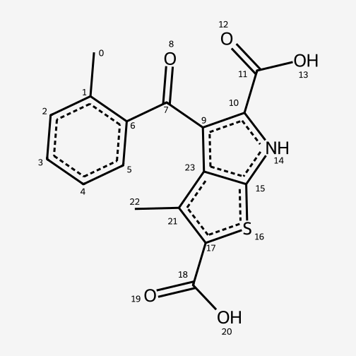 Cc1ccccc1C(=O)c1c(C(=O)O)[nH]c2sc(C(=O)O)c(C)c12